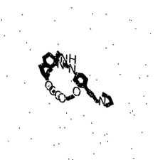 C(#Cc1ccc2cc1OCCOCCOc1ccc3c(c1)-c1nc(ncc1CC3)N2)CN1CCCC1